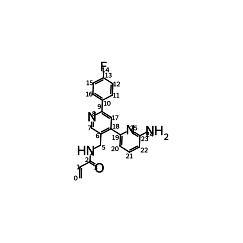 C=CC(=O)NCc1cnc(-c2ccc(F)cc2)cc1-c1cccc(N)n1